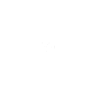 Cc1cccc([Si]([O][Cr](=[O])(=[O])[OH])(c2cccc(C)c2C)c2cccc(C)c2C)c1C